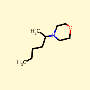 [CH2]C(CCCC)N1CCOCC1